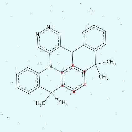 CC1(C)c2ccccc2C(c2cnncc2N2c3ccccc3C(C)(C)c3ccccc32)c2ccccc21